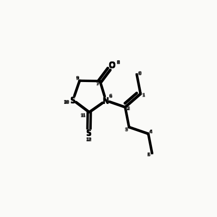 C/C=C(/CCC)N1C(=O)CSC1=S